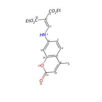 CCOC(=O)C(=CNc1ccc2c(C)cc(=O)oc2c1)C(=O)OCC